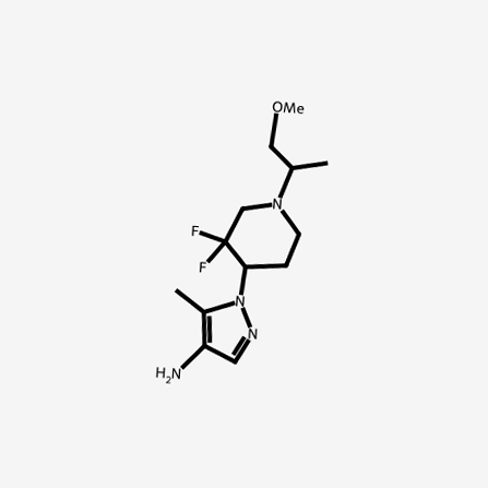 COCC(C)N1CCC(n2ncc(N)c2C)C(F)(F)C1